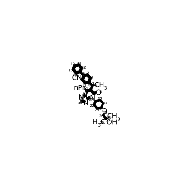 CCCc1c(C(C)c2ccc(-c3ccccc3C#N)cc2)c(=O)n([C@H]2CC[C@H](OCC(C)(C)O)CC2)c2ncnn12